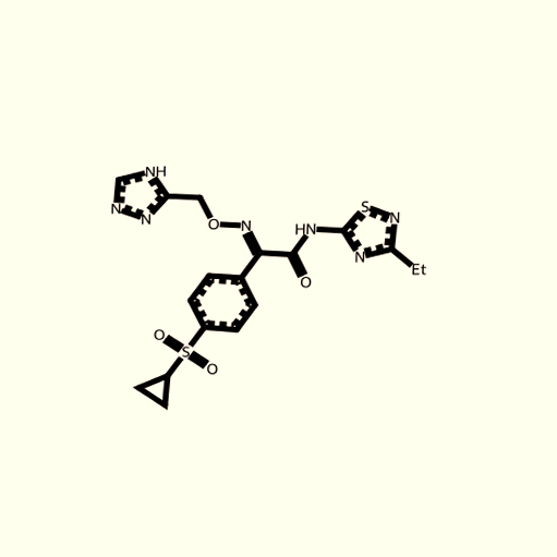 CCc1nsc(NC(=O)/C(=N/OCc2nnc[nH]2)c2ccc(S(=O)(=O)C3CC3)cc2)n1